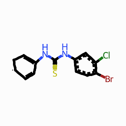 S=C(NC1=CC[CH]C=C1)Nc1ccc(Br)c(Cl)c1